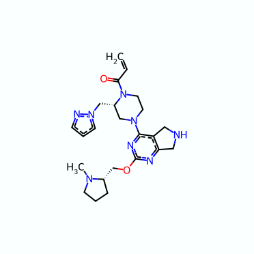 C=CC(=O)N1CCN(c2nc(OC[C@@H]3CCCN3C)nc3c2CNC3)C[C@@H]1Cn1cccn1